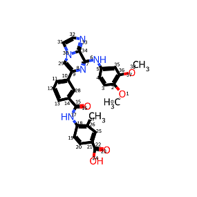 COc1ccc(Nc2nc(-c3cccc(C(=O)Nc4ccc(C(=O)O)cc4C)c3)cn3ccnc23)cc1OC